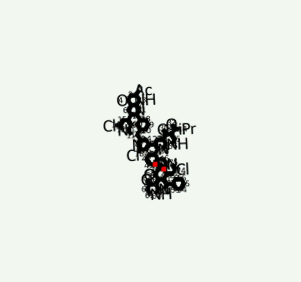 CC(=O)c1cc(=O)c2cc(-c3cc(C)nc(Cl)c3)c(-c3cccc(Cc4cc(-c5cc6c(=O)c(C(=O)C(C)C)c[nH]c6nc5-c5ccccc5Cc5cc(-c6c(-c7ccccc7)nc7[nH]ccc(=O)c7c6C(=O)C6CC6)cc(Cl)n5)cc(Cl)n4)c3)nc2[nH]1